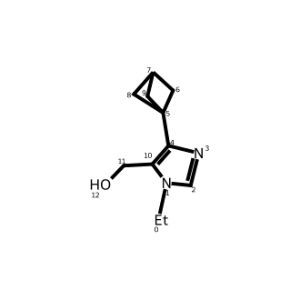 CCn1cnc(C23CC(C2)C3)c1CO